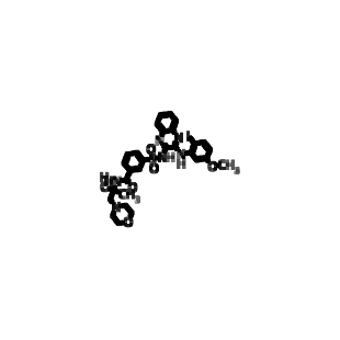 COc1ccc(I)c(Nc2nc3ccccc3nc2NS(=O)(=O)c2cccc(C(=O)NC(C)(C)CN3CCOCC3)c2)c1